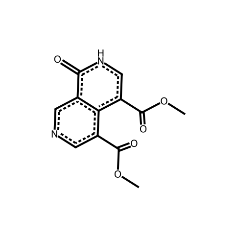 COC(=O)c1cncc2c(=O)[nH]cc(C(=O)OC)c12